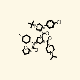 CC(C)N1CCN(C(=O)[C@@H]2C[C@H](N(C(=O)[C@@H]3CCCO3)[C@H]3CC[C@@H](C)CC3)CN2C(=O)[C@@H]2CN(C(C)(C)C)C[C@H]2c2ccc(Cl)cc2)CC1